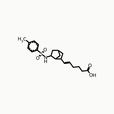 Cc1ccc(S(=O)(=O)NC2CC3CC(/C=C/CCCC(=O)O)C2C3)cc1